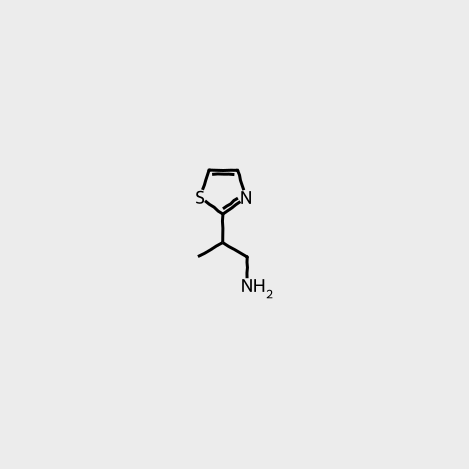 CC(CN)c1nccs1